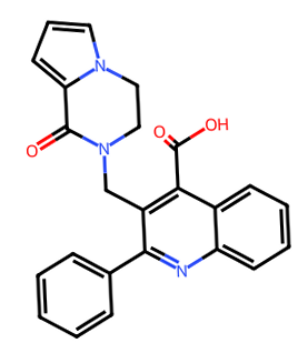 O=C(O)c1c(CN2CCn3cccc3C2=O)c(-c2ccccc2)nc2ccccc12